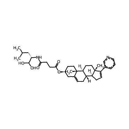 CC(C)C[C@H](NC(=O)CCC(=O)O[C@H]1CC[C@@]2(C)C(=CC[C@@H]3[C@@H]2CC[C@]2(C)C(c4cccnc4)=CC[C@@H]32)C1)C(O)O